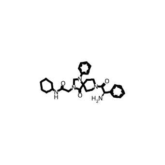 N[C@@H](C(=O)N1CCC2(CC1)C(=O)N(CC(=O)NC1CCCCC1)CN2c1ccccc1)c1ccccc1